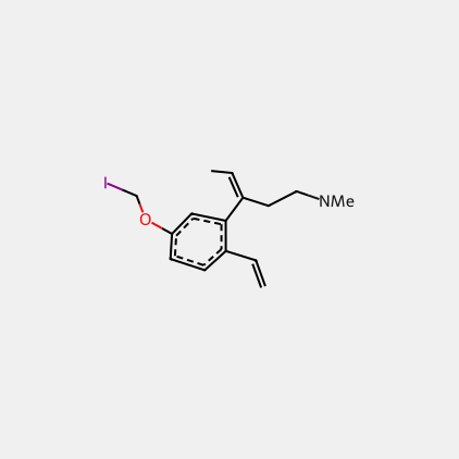 C=Cc1ccc(OCI)cc1/C(=C\C)CCNC